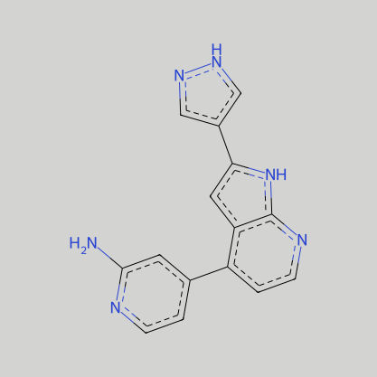 Nc1cc(-c2ccnc3[nH]c(-c4cn[nH]c4)cc23)ccn1